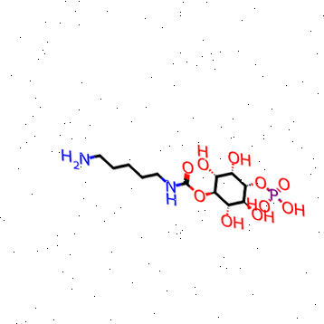 NCCCCCNC(=O)O[C@H]1[C@H](O)[C@H](O)[C@H](OP(=O)(O)O)[C@@H](O)[C@@H]1O